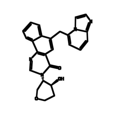 O=c1c2cc(Cc3cccc4nccn34)c3ccccc3c2ncn1[C@H]1COCC[C@@H]1O